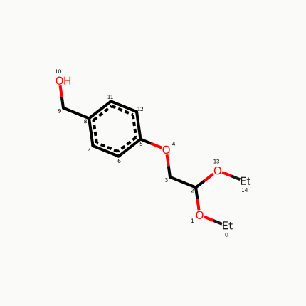 CCOC(COc1ccc(CO)cc1)OCC